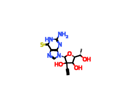 C#CC1(O)C(O)[C@@H]([C@H](C)O)O[C@H]1n1cnc2c(=S)[nH]c(N)nc21